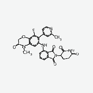 Cc1cc(-c2c(Nc3cccc4c3C(=O)N(C3CCC(=O)NC3=O)C4=O)cc3c(c2F)OCC(=O)N3C)ccn1